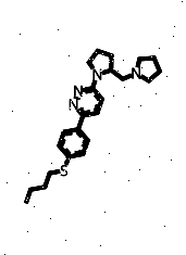 CCCCSc1ccc(-c2ccc(N3CCCC3CN3CCCC3)nn2)cc1